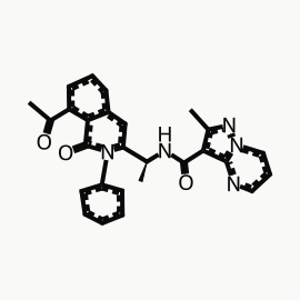 CC(=O)c1cccc2cc([C@H](C)NC(=O)c3c(C)nn4cccnc34)n(-c3ccccc3)c(=O)c12